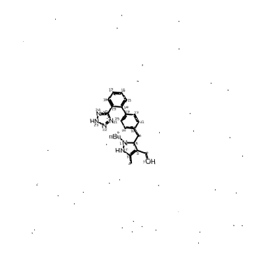 CCCCN1NC(C)=C(CO)C1Cc1ccc(-c2ccccc2-c2nn[nH]n2)cc1